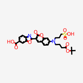 CC(C)(C)OC(=O)CCCN(CCCS(=O)(=O)O)c1ccc2cc(-c3nc4ccc(C(=O)O)cc4o3)c(=O)oc2c1